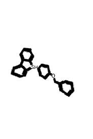 c1ccc(COc2ccc([SH]3c4ccccc4-c4ccccc43)cc2)cc1